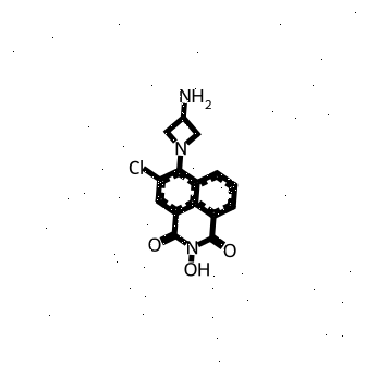 NC1CN(c2c(Cl)cc3c4c(cccc24)C(=O)N(O)C3=O)C1